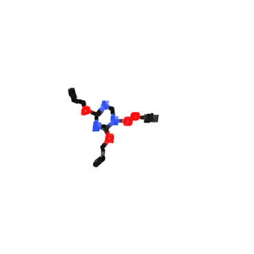 C=CCOC1=NCN(OOC(C)(C)C)C(OCC=C)=N1